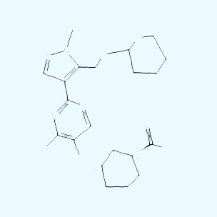 Cc1nc(-c2cnn(C)c2COC2CCCCO2)ncc1O[C@H]1CCC[C@H](C(=O)O)C1